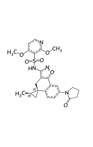 COc1ccnc(OC)c1S(=O)(=O)Nc1noc2c1C[C@]1(C[C@H]1C)c1ccc(N3CCCC3=O)cc1-2